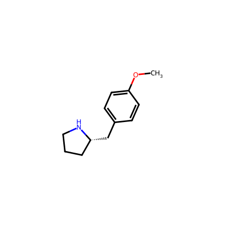 COc1ccc(C[C@@H]2CCCN2)cc1